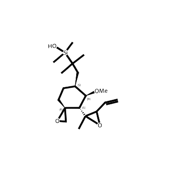 C=CC1OC1(C)[C@H]1[C@H](OC)[C@H](CC(C)(C)[Si](C)(C)O)CC[C@]12CO2